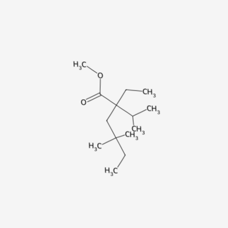 CCC(C)(C)CC(CC)(C(=O)OC)C(C)C